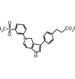 CS(=O)(=O)c1cccc(N2C=Cc3[nH]cc(-c4ccc(CCC(=O)O)cc4)c3C2)c1